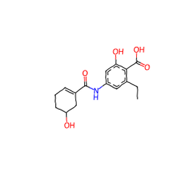 CCc1cc(NC(=O)C2=CCCC(O)C2)cc(O)c1C(=O)O